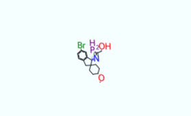 COC1CCC2(CC1)Cc1ccc(Br)cc1/C2=N\[C@@H](P)CO